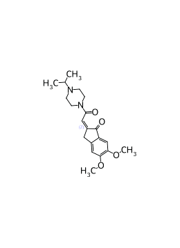 COc1cc2c(cc1OC)C(=O)/C(=C\C(=O)N1CCN(C(C)C)CC1)C2